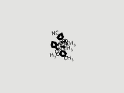 Cc1ccc(-n2c(C(C)N(C)S(=O)(=O)c3ccc(C#N)cc3)nc3ccccc3c2=O)c(C)c1